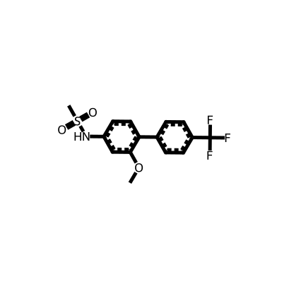 COc1cc(NS(C)(=O)=O)ccc1-c1ccc(C(F)(F)F)cc1